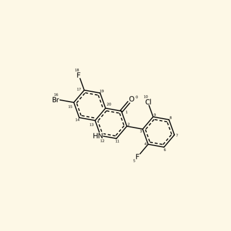 O=c1c(-c2c(F)cccc2Cl)c[nH]c2cc(Br)c(F)cc12